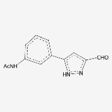 CC(=O)Nc1cccc(-c2cc(C=O)n[nH]2)c1